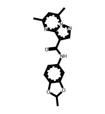 Cc1cc(C)n2ncc(C(=O)Nc3ccc4c(c3)OC(C)O4)c2n1